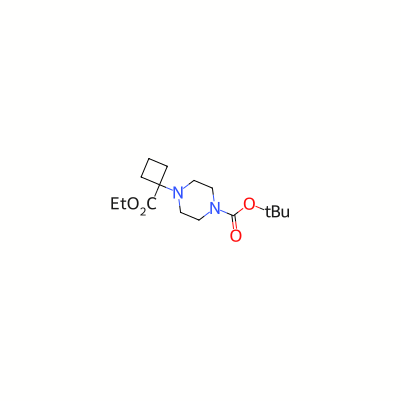 CCOC(=O)C1(N2CCN(C(=O)OC(C)(C)C)CC2)CCC1